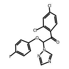 O=C(c1ccc(Cl)cc1Cl)C(Oc1ccc(I)cc1)n1cncn1